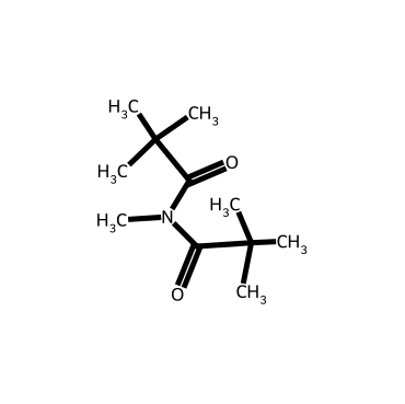 CN(C(=O)C(C)(C)C)C(=O)C(C)(C)C